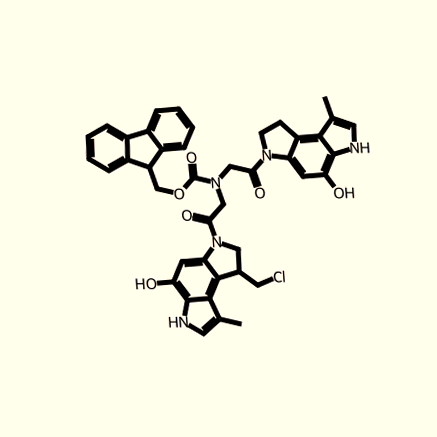 Cc1c[nH]c2c(O)cc3c(c12)CCN3C(=O)CN(CC(=O)N1CC(CCl)c2c1cc(O)c1[nH]cc(C)c21)C(=O)OCC1c2ccccc2-c2ccccc21